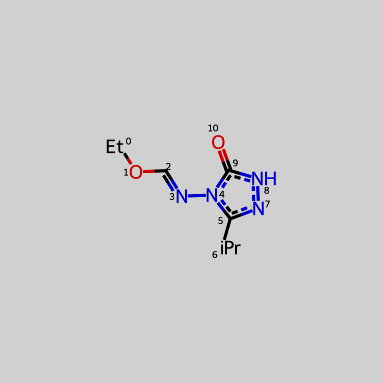 CCOC=Nn1c(C(C)C)n[nH]c1=O